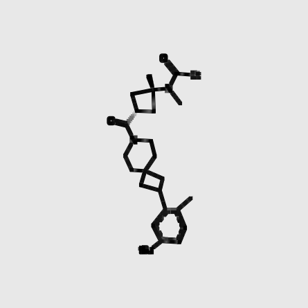 CCC(=O)N(C)[C@]1(C)C[C@H](C(=O)N2CCC3(CC2)CC(c2cc(C(C)(C)C)ccc2C)C3)C1